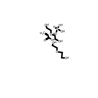 C=CC(=O)O.O=P(O)(O)O.OCCOCCO.OCCOCCO